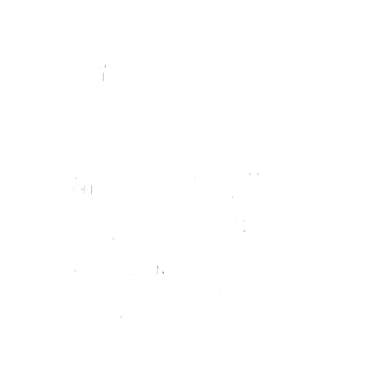 CCOC(=O)Oc1c(C(C)C)nc(C(C)C)c(CO)c1-c1ccc(F)cc1